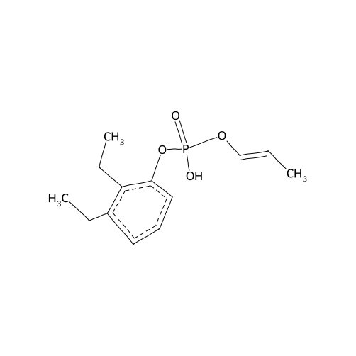 CC=COP(=O)(O)Oc1cccc(CC)c1CC